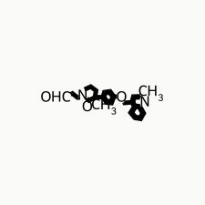 Cc1cc(COc2ccc(C3(C)CCCN(CCC=O)C3=O)cc2)c2ccccc2n1